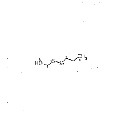 CCCSSCO